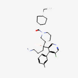 CCc1cccc(-c2c(Cl)cncc2[C@](O)(CCCNC(=O)O)[C@@H]2CCCN(C(=O)[C@H]3CC[C@H](CNC)CC3)C2)c1